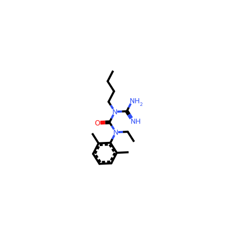 CCCCN(C(=N)N)C(=O)N(CC)c1c(C)cccc1C